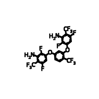 Nc1c(F)c(Oc2ccc(C(F)(F)F)c(Oc3cc(F)c(C(F)(F)F)c(N)c3F)c2)cc(F)c1C(F)(F)F